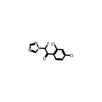 O=C(c1ccc(Cl)cc1Cl)C(F)n1cncn1